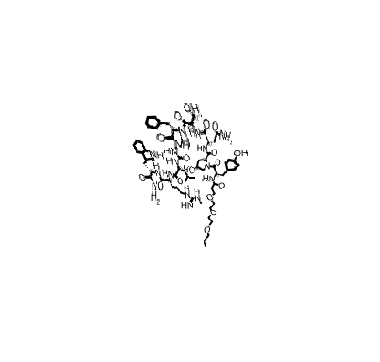 CCCOCCOCCOCCC(=O)N[C@H](Cc1ccc(O)cc1)C(=O)N1C[C@H](O)C[C@H]1C(=O)N[C@@H](CC(N)=O)C(=O)N[C@H](C(=O)N[C@@H](Cc1ccccc1)C(=O)NNC(=O)N[C@@H](CC(C)C)C(=O)N[C@@H](CCCNC(=N)NC)C(=O)N[C@@H](Cc1c[nH]c2ccccc12)C(N)=O)[C@@H](C)O